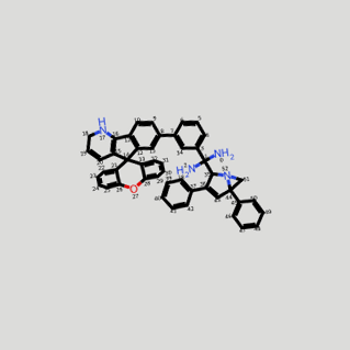 NC(N)(c1cccc(-c2ccc3c(c2)C2(C4=C3NCC=C4)c3ccccc3Oc3ccccc32)c1)C1C(c2ccccc2)=CC2(c3ccccc3)CN12